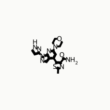 Cc1nc(C(N)=O)c(-c2cc(N3CCOCC3)nc3c2cnn3-c2cc[nH]n2)s1